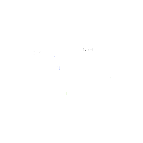 O=S(=O)(O)NNc1ccc(Cl)cc1F.[NaH]